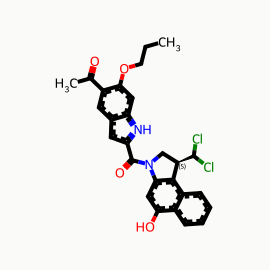 CCCOc1cc2[nH]c(C(=O)N3C[C@@H](C(Cl)Cl)c4c3cc(O)c3ccccc43)cc2cc1C(C)=O